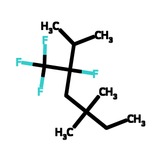 CCC(C)(C)CC(F)(C(C)C)C(F)(F)F